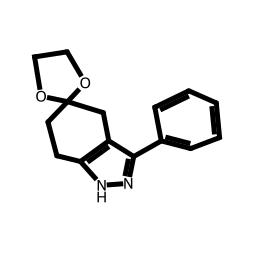 c1ccc(-c2n[nH]c3c2CC2(CC3)OCCO2)cc1